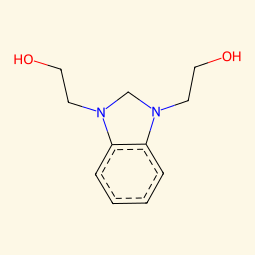 OCCN1CN(CCO)c2ccccc21